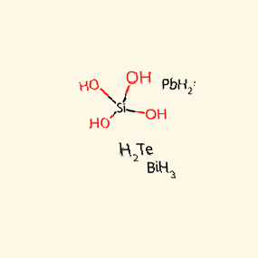 O[Si](O)(O)O.[BiH3].[PbH2].[TeH2]